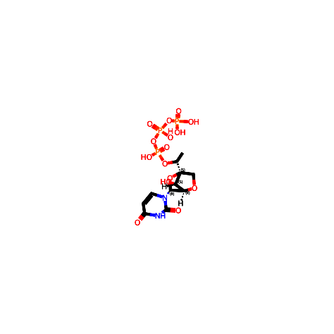 CC(OP(=O)(O)OP(=O)(O)OP(=O)(O)O)[C@@]12CO[C@@H]([C@H](n3ccc(=O)[nH]c3=O)O1)[C@@H]2O